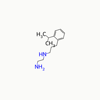 CC(C)c1ccccc1CCCNCCN